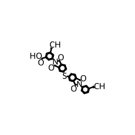 C#Cc1cccc(N2C(=O)c3ccc(Sc4ccc5c(c4)C(=O)N(c4cc(C#C)cc(C(=O)O)c4)C5=O)cc3C2=O)c1